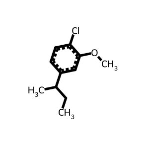 CCC(C)c1ccc(Cl)c(OC)c1